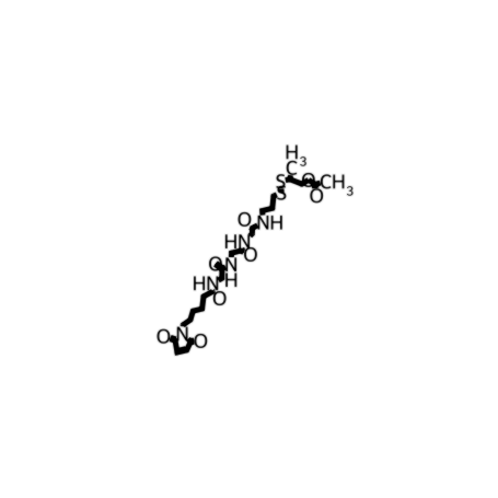 CC(=O)OCC(C)SSCCCNC(=O)CNC(=O)CNC(=O)CNC(=O)CCCCCN1C(=O)C=CC1=O